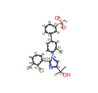 CC(C)(O)c1cn(-c2ccc(-c3cccc(S(C)(=O)=O)c3)cc2F)c(-c2cccc(F)c2Cl)n1